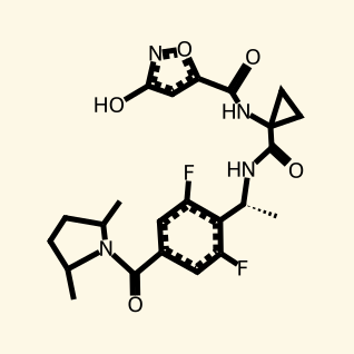 CC1CCC(C)N1C(=O)c1cc(F)c([C@@H](C)NC(=O)C2(NC(=O)c3cc(O)no3)CC2)c(F)c1